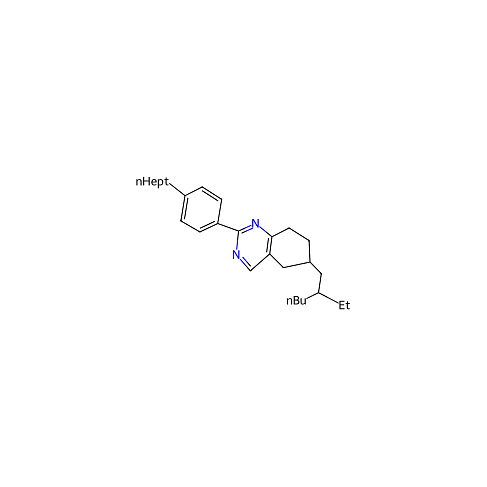 CCCCCCCc1ccc(-c2ncc3c(n2)CCC(CC(CC)CCCC)C3)cc1